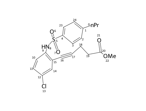 CCCc1ccc(S(=O)(=O)Nc2ccc(Cl)cc2C#CCCC(=O)OC)cc1